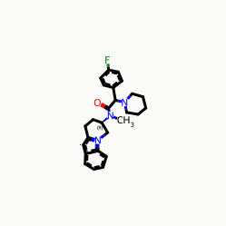 CN(C(=O)C(c1ccc(F)cc1)N1CCCCC1)[C@@H]1CCc2[c]c3ccccc3n2C1